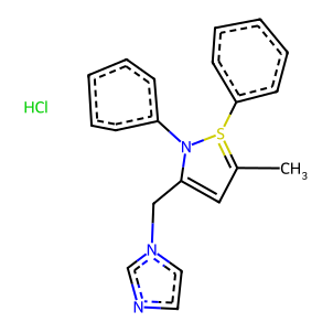 CC1=S(c2ccccc2)N(c2ccccc2)C(Cn2ccnc2)=C1.Cl